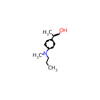 CCCN(C)c1ccc(/C(C)=C/O)cc1